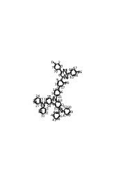 Cc1ccc(-c2cc(-c3ccc(-c4ccc(-n5c6ccc(N(c7ccccc7)c7ccccc7)cc6c6cc(N(c7ccccc7)c7ccccc7)ccc65)cc4)cc3C)nc(-c3ccc(C)cc3)n2)cc1